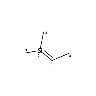 CC=[Si](C)C